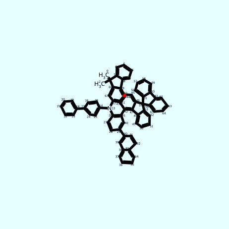 CC1(C)c2ccccc2-c2ccc(N(c3ccc(-c4ccccc4)cc3)c3ccc(-c4ccc5ccccc5c4)cc3-c3cccc4c3-c3ccccc3C43c4ccccc4-c4ccccc43)cc21